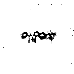 O=C(Nc1ccncc1)N1CCC2c3ccc(C(F)(C(F)(F)F)C(F)(F)F)cc3CCC21